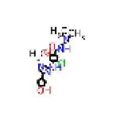 CCN(CC)CCNC(=O)c1cc(Cl)c(Nc2cncc(-c3ccc(O)cc3)n2)cc1OC